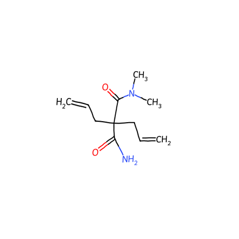 C=CCC(CC=C)(C(N)=O)C(=O)N(C)C